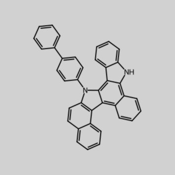 c1ccc(-c2ccc(-n3c4ccc5ccccc5c4c4c5ccccc5c5[nH]c6ccccc6c5c43)cc2)cc1